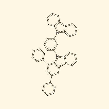 c1ccc(-c2cc(-c3ccccc3)c3c(c2)c2ccccc2n3-c2cccc(-n3c4ccccc4c4ccccc43)c2)cc1